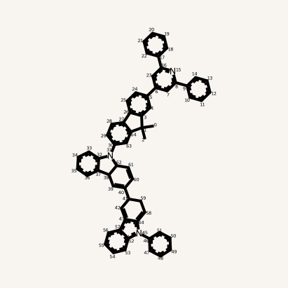 CC1(C)c2cc(-c3cc(-c4ccccc4)nc(-c4ccccc4)c3)ccc2-c2ccc(N3c4ccccc4C4C=C(C5C=c6c(n(-c7ccccc7)c7ccccc67)=CC5)C=CC43)cc21